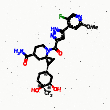 COc1cc(-c2cc(C(=O)N3CCC(C(N)=O)CC34CC4[C@H]3CC[C@@](O)(C(F)(F)F)[C@H](O)C3)n[nH]2)c(F)cn1